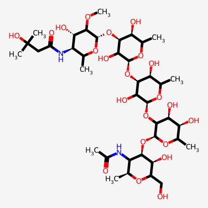 COC1[C@H](O[C@@H]2C(O)[C@H](O[C@@H]3C(O)[C@H](OC4[C@H](O[C@@H]5C(NC(C)=O)[C@H](C)OC(CO)[C@@H]5O)OC(C)[C@H](O)[C@@H]4O)OC(C)[C@@H]3O)OC(C)[C@@H]2O)OC(C)[C@@H](NC(=O)CC(C)(C)O)[C@@H]1O